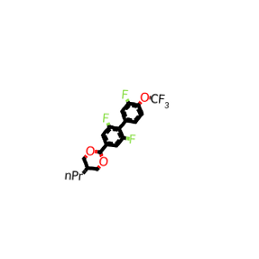 CCCC1COC(c2cc(F)c(-c3ccc(OC(F)(F)F)c(F)c3)c(F)c2)OC1